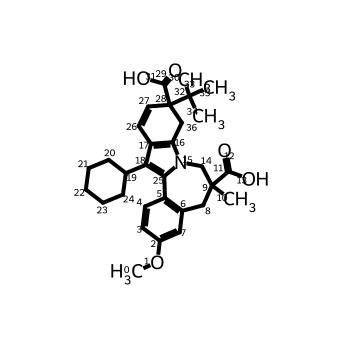 COc1ccc2c(c1)CC(C)(C(=O)O)Cn1c3c(c(C4CCCCC4)c1-2)C=CC(C(=O)O)(C(C)(C)C)C3